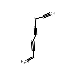 C#CCC#CC#CC=C